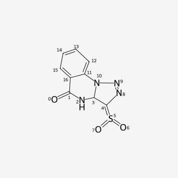 O=C1NC2C(=S(=O)=O)N=NN2c2ccccc21